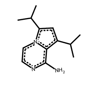 CC(C)c1cc(C(C)C)n2ccnc(N)c12